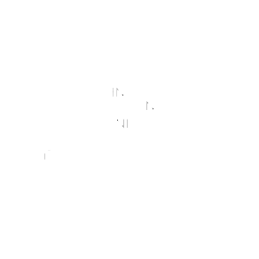 CC(C)c1cccc(NC(=N)Nc2ccc3c4c(cccc24)C=C3)c1